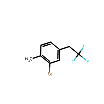 Cc1ccc(CC(F)(F)F)cc1Br